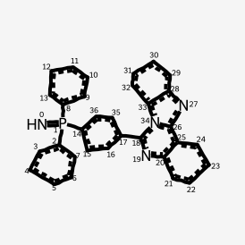 N=P(c1ccccc1)(c1ccccc1)c1ccc(-c2nc3ccccc3c3nc4ccccc4n23)cc1